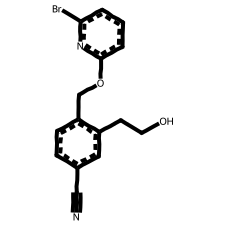 N#Cc1ccc(COc2cccc(Br)n2)c(CCO)c1